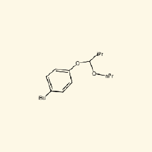 CCCOC(Oc1ccc(C(C)CC)cc1)C(C)C